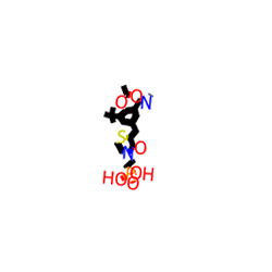 CC(=O)Oc1c(CN(C)C)cc(C=C2SC=CN(CCP(=O)(O)O)C2=O)cc1C(C)(C)C